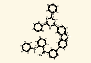 N=C(c1cccc(-c2ccc3oc4ccc(-c5nc(-c6ccccc6)nc(-c6ccccc6)n5)cc4c3c2)c1)c1ccccc1Nc1ccccc1